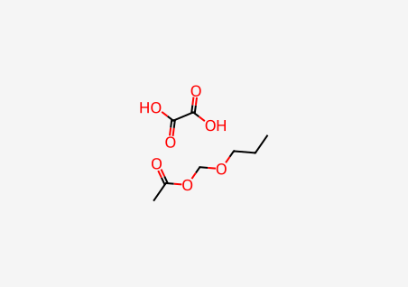 CCCOCOC(C)=O.O=C(O)C(=O)O